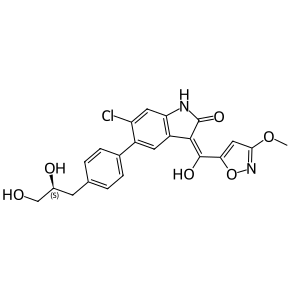 COc1cc(C(O)=C2C(=O)Nc3cc(Cl)c(-c4ccc(C[C@H](O)CO)cc4)cc32)on1